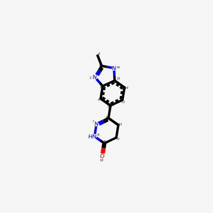 CC1=Nc2cc(C3=NNC(=O)CC3)ccc2[N]1